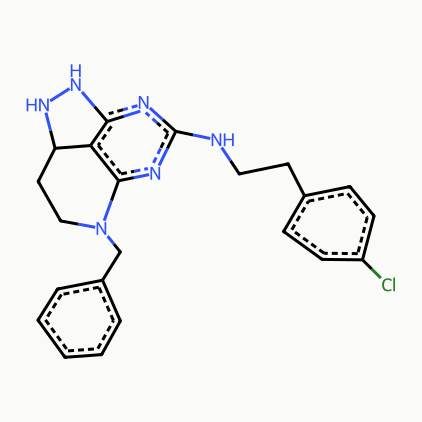 Clc1ccc(CCNc2nc3c4c(n2)N(Cc2ccccc2)CCC4NN3)cc1